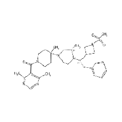 Cc1ncnc(C)c1C(=O)N1CCC(C)(N2CCN([C@@H](Cc3ccccc3)C3CN(S(C)(=O)=O)C3)[C@@H](C)C2)CC1